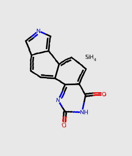 O=C1N=c2c(ccc3c4c(ccc23)C=NC=4)C(=O)N1.[SiH4]